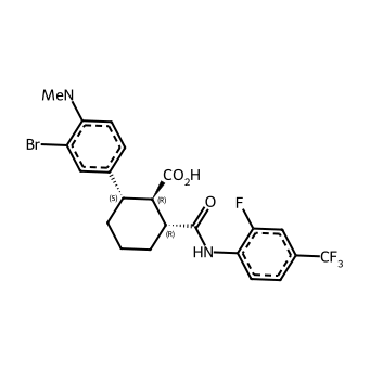 CNc1ccc([C@H]2CCC[C@@H](C(=O)Nc3ccc(C(F)(F)F)cc3F)[C@@H]2C(=O)O)cc1Br